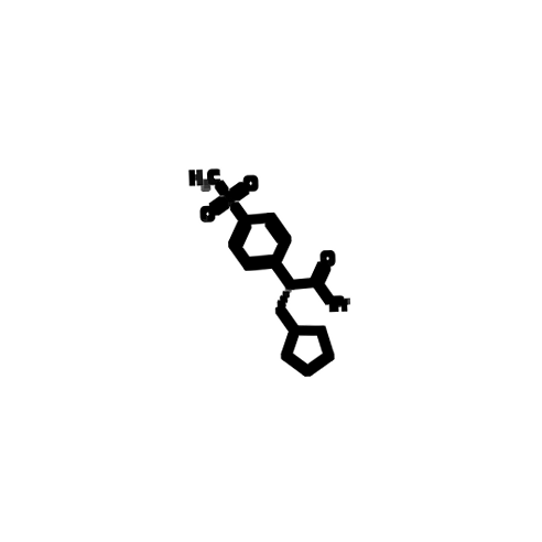 CC(C)C(=O)[C@H](CC1CCCC1)c1ccc(S(C)(=O)=O)cc1